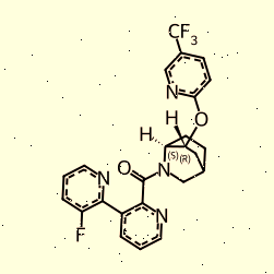 O=C(c1ncccc1-c1ncccc1F)N1CC2CC[C@H]1[C@H](Oc1ccc(C(F)(F)F)cn1)C2